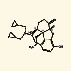 CCC[C@]12c3c4ccc(O)c3O[C@H]1C(=O)CC[C@@]2(O)C(N(CC1CC1)CC1CC1)C4